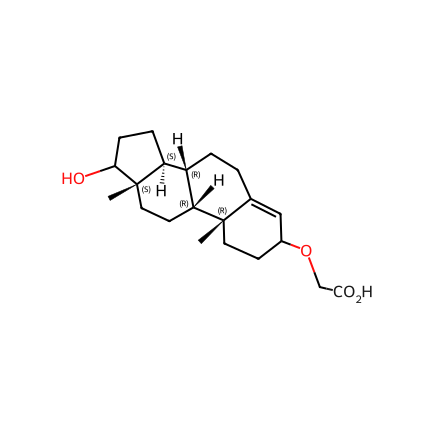 C[C@]12CCC(OCC(=O)O)C=C1CC[C@@H]1[C@H]2CC[C@]2(C)C(O)CC[C@@H]12